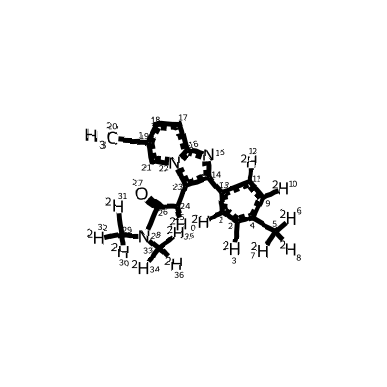 [2H]c1c([2H])c(C([2H])([2H])[2H])c([2H])c([2H])c1-c1nc2ccc(C)cn2c1C([2H])C(=O)N(C([2H])([2H])[2H])C([2H])([2H])[2H]